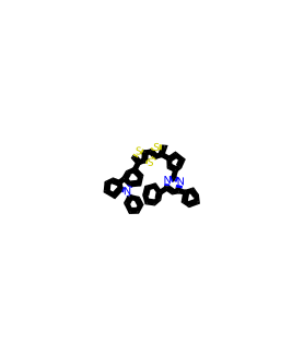 C1=CC=C(c2cc(-c3ccccc3)nc(-c3cccc(-c4csc5c4sc4c(-c6ccc7c(c6)c6ccccc6n7-c6ccccc6)csc45)c3)n2)CC=C1